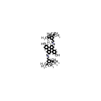 CC(C)(C)C1=CC(=C/N=N/c2ccc(-c3ccc(/N=N/C=C4C=C(C(C)(C)C)C(=O)C(C(C)(C)C)=C4)cc3-c3ccc(O)cc3)c(-c3ccc(O)cc3)c2)C=C(C(C)(C)C)C1=O